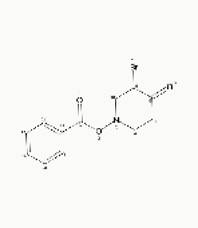 O=C(ON1CCC(=O)C(Br)C1)c1ccccc1